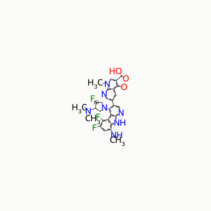 CNc1cc(F)c(F)c2c1[nH]c1ncc(-c3cnc4c(c3)c(=O)c(C(=O)O)cn4C)c(N3CC(N(C)C)[C@@H](F)C3)c12